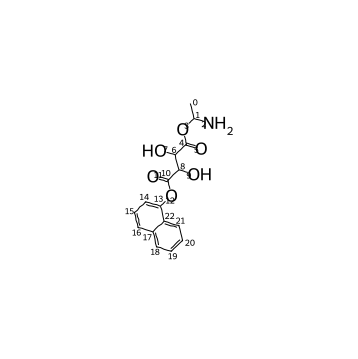 CC(N)OC(=O)C(O)C(O)C(=O)Oc1cccc2ccccc12